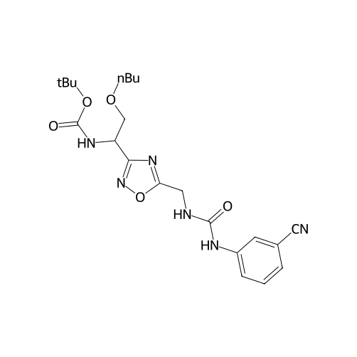 CCCCOCC(NC(=O)OC(C)(C)C)c1noc(CNC(=O)Nc2cccc(C#N)c2)n1